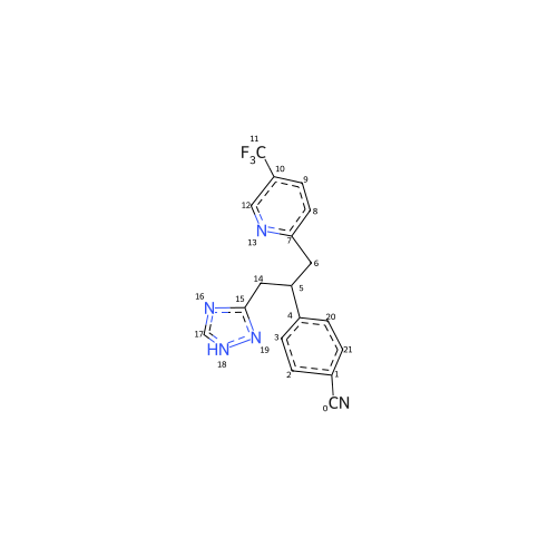 N#Cc1ccc(C(Cc2ccc(C(F)(F)F)cn2)Cc2nc[nH]n2)cc1